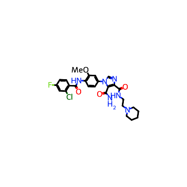 COc1cc(-n2cnc(C(=O)NCCN3CCCCC3)c2C(N)=O)ccc1NC(=O)c1ccc(F)cc1Cl